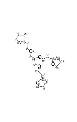 C1CN=C(CCOCC(COCCC2=NCCO2)OCCC2=NCCO2)C1